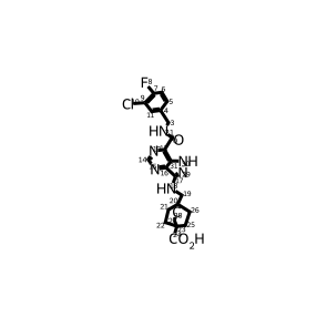 O=C(NCc1ccc(F)c(Cl)c1)c1ncnc2c(NCC34CCC(C(=O)O)(CC3)CC4)n[nH]c12